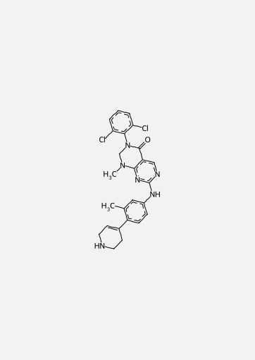 Cc1cc(Nc2ncc3c(n2)N(C)CN(c2c(Cl)cccc2Cl)C3=O)ccc1C1=CCNCC1